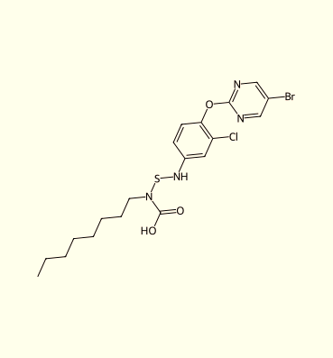 CCCCCCCCN(SNc1ccc(Oc2ncc(Br)cn2)c(Cl)c1)C(=O)O